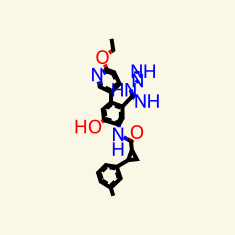 CCOc1ccc(-c2cc(O)c(NC(=O)C3CC3c3cccc(C)c3)cc2C(=N)NN=N)cn1